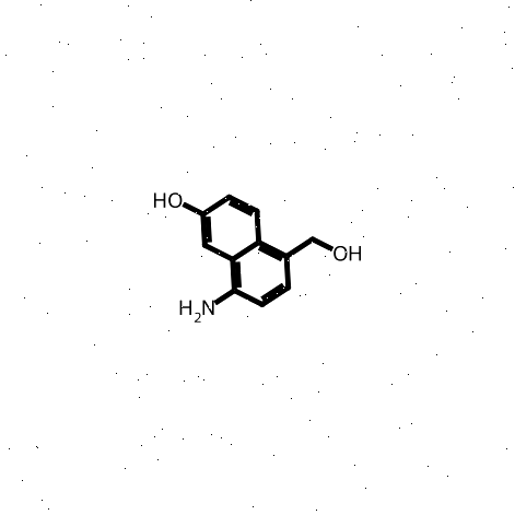 Nc1ccc(CO)c2ccc(O)cc12